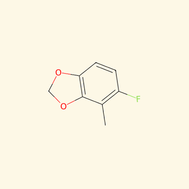 Cc1c(F)ccc2c1OCO2